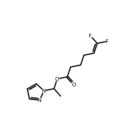 CC(OC(=O)CCCC=C(F)F)n1cccn1